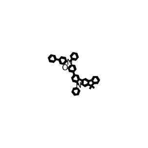 CC1(C)c2ccccc2-c2cc3c4cc(-c5ccc6c(c5)Oc5cc(-c7ccccc7)ccc5N6c5ccccc5)ccc4n(-c4ccccc4)c3cc21